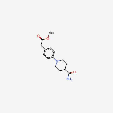 CC(C)(C)OC(=O)Cc1ccc(N2CCC(C(N)=O)CC2)cc1